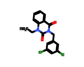 CCOC(=O)Cn1c(=O)n(Cc2cc(Cl)cc(Cl)c2)c(=O)c2ccccc21